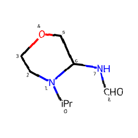 CC(C)N1CCOCC1NC=O